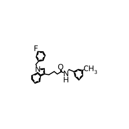 Cc1cccc(CNC(=O)CCCc2cn(Cc3cccc(F)c3)c3ccccc23)c1